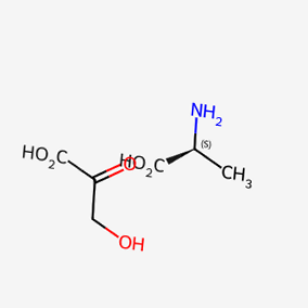 C[C@H](N)C(=O)O.O=C(O)C(=O)CO